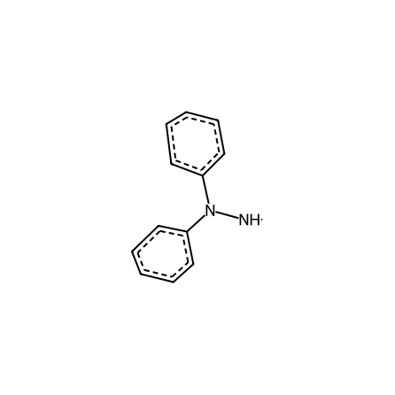 [NH]N(c1ccccc1)c1ccccc1